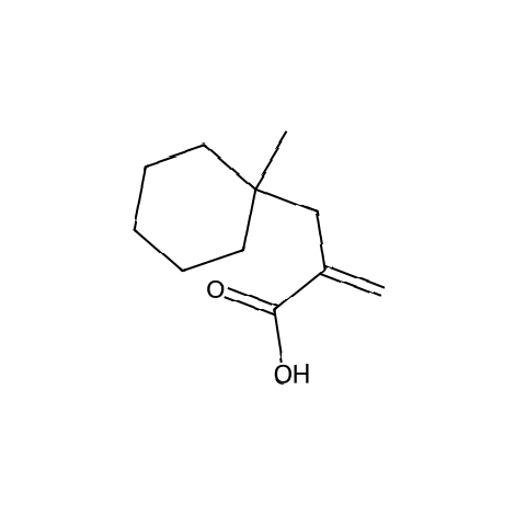 C=C(CC1(C)CCCCC1)C(=O)O